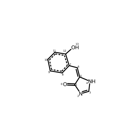 O=C1N=CNC1=Cc1ccccc1O